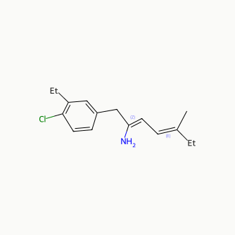 CC/C(C)=C/C=C(\N)Cc1ccc(Cl)c(CC)c1